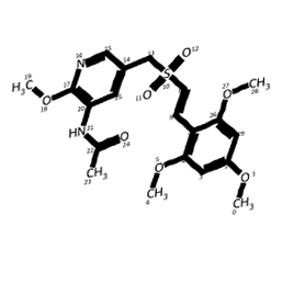 COc1cc(OC)c(C=CS(=O)(=O)Cc2cnc(OC)c(NC(C)=O)c2)c(OC)c1